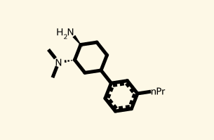 CCCc1cccc(C2CC[C@H](N)[C@@H](N(C)C)C2)c1